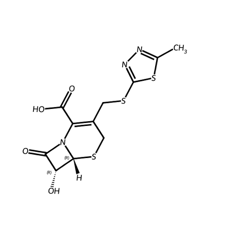 Cc1nnc(SCC2=C(C(=O)O)N3C(=O)[C@@H](O)[C@H]3SC2)s1